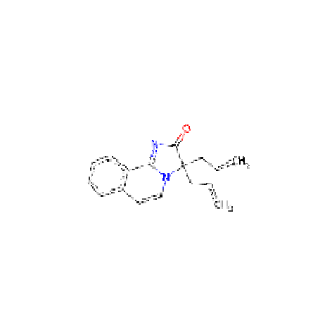 C=CCC1(CC=C)C(=O)N=C2c3ccccc3C=CN21